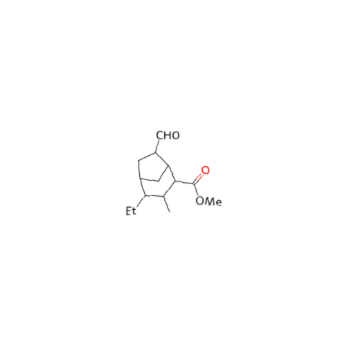 CCC1C2CC(C=O)C(C2)C(C(=O)OC)C1C